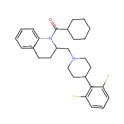 O=C(C1CCCCC1)N1c2ccccc2CCC1CN1CCC(c2c(F)cccc2F)CC1